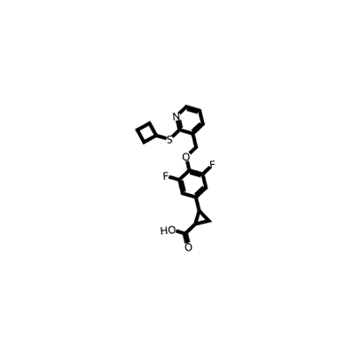 O=C(O)C1CC1c1cc(F)c(OCc2cccnc2SC2CCC2)c(F)c1